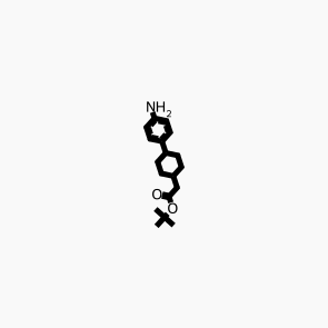 CC(C)(C)OC(=O)CC1CCC(c2ccc(N)cc2)CC1